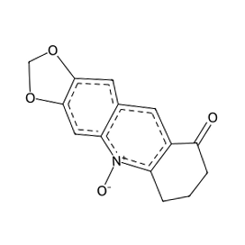 O=C1CCCc2c1cc1cc3c(cc1[n+]2[O-])OCO3